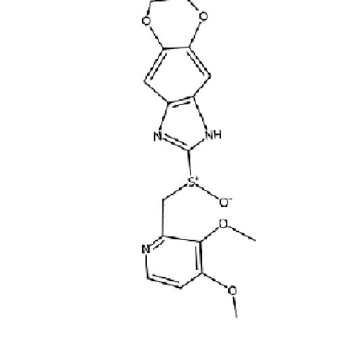 COc1ccnc(C[S+]([O-])c2nc3cc4c(cc3[nH]2)OCCO4)c1OC